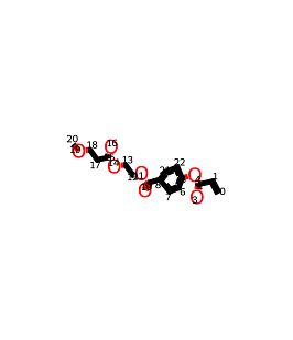 C=CC(=O)Oc1ccc(C(=O)OCCOC(=O)CCOC)cc1